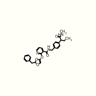 CCC(C(=O)NC)c1ccc(CNC(=O)c2cccnc2OC2=COC(Cc3ccccc3)O2)cc1